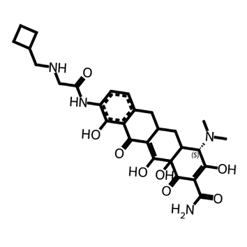 CN(C)[C@@H]1C(O)=C(C(N)=O)C(=O)C2(O)C(O)=C3C(=O)c4c(ccc(NC(=O)CNCC5CCC5)c4O)CC3CC12